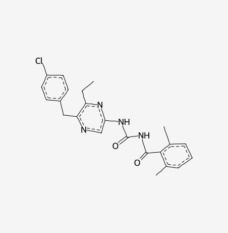 CCc1nc(NC(=O)NC(=O)c2c(C)cccc2C)cnc1Cc1ccc(Cl)cc1